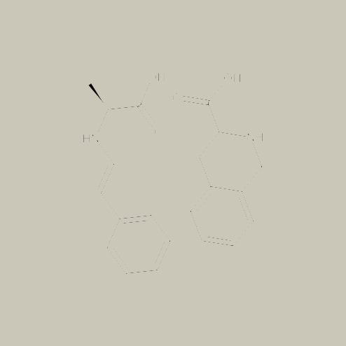 C[C@H](NC=Cc1ccccc1)C(=O)O.O=C(O)C1Cc2ccccc2CN1